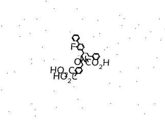 C[C@H]([C@H](CCc1ccccc1)c1ccc(-c2ccccc2)c(F)c1)N(CC(=O)O)C(=O)Cc1ccc(C(=O)O)c(C(=O)O)c1